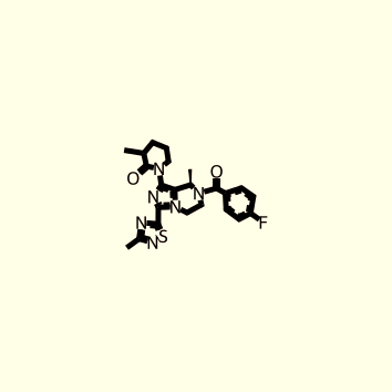 Cc1nsc(-c2nc(N3CCCC(C)C3=O)c3n2CCN(C(=O)c2ccc(F)cc2)[C@@H]3C)n1